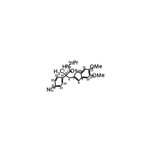 CCCNC(=O)C(C)(Cc1cc2cc(OC)c(OC)cc2s1)c1ccc(C#N)cc1